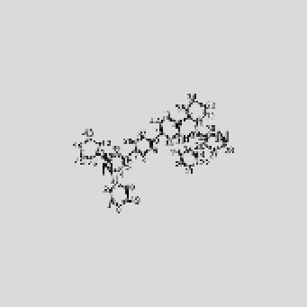 c1ccc(-c2cc(-c3ccc(-c4ccc5c(c4)c(-c4ccccc4)c(-c4cccnc4)c4ccccc45)cc3)cc(-c3ccccc3)n2)cc1